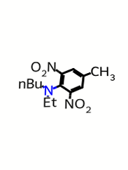 CCCCN(CC)c1c([N+](=O)[O-])cc(C)cc1[N+](=O)[O-]